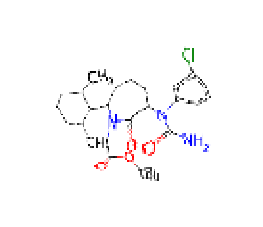 CC1CCCC(C)C1C1CCCC(N(C(N)=O)c2cccc(Cl)c2)C(=O)N1CC(=O)OC(C)(C)C